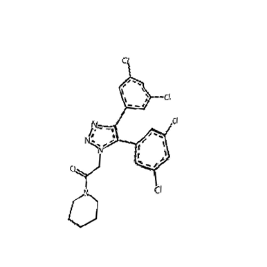 O=C(Cn1nnc(-c2cc(Cl)cc(Cl)c2)c1-c1cc(Cl)cc(Cl)c1)N1CCCCC1